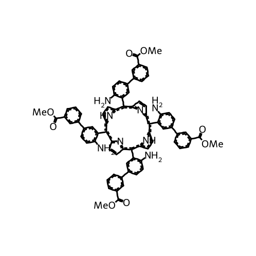 COC(=O)c1cccc(-c2ccc(N)c(-c3c4nc(c(-c5cc(-c6cccc(C(=O)OC)c6)ccc5N)c5ccc([nH]5)c(-c5cc(-c6cccc(C(=O)OC)c6)ccc5N)c5nc(c(-c6cc(-c7cccc(C(=O)OC)c7)ccc6N)c6ccc3[nH]6)C=C5)C=C4)c2)c1